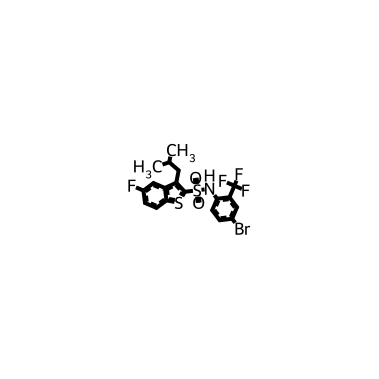 CC(C)Cc1c(S(=O)(=O)Nc2ccc(Br)cc2C(F)(F)F)sc2ccc(F)cc12